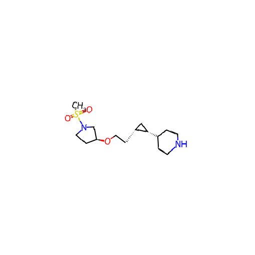 CS(=O)(=O)N1CC[C@H](OCC[C@@H]2C[C@@H]2C2CCNCC2)C1